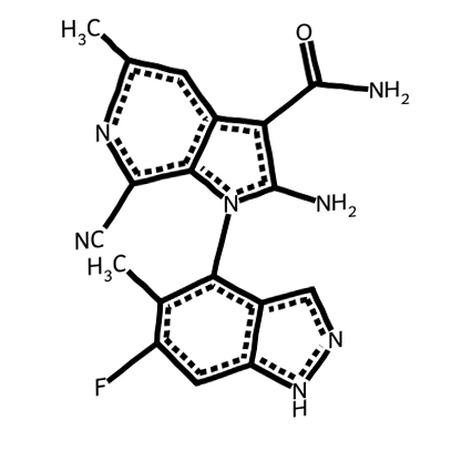 Cc1cc2c(C(N)=O)c(N)n(-c3c(C)c(F)cc4[nH]ncc34)c2c(C#N)n1